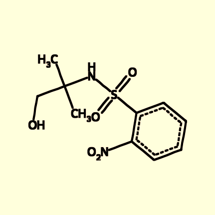 CC(C)(CO)NS(=O)(=O)c1ccccc1[N+](=O)[O-]